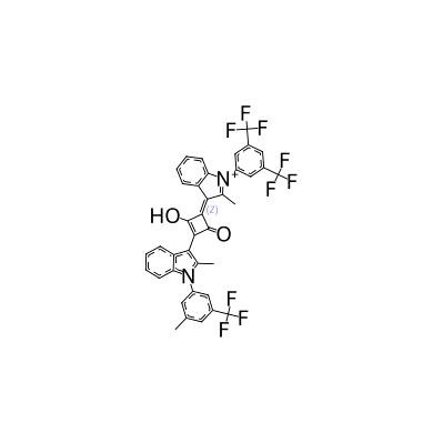 CC1=[N+](c2cc(C(F)(F)F)cc(C(F)(F)F)c2)c2ccccc2/C1=C1/C(=O)C(c2c(C)n(-c3cc(C)cc(C(F)(F)F)c3)c3ccccc23)=C1O